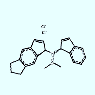 C[SiH](C)[Hf+2]([CH]1C=Cc2ccccc21)[CH]1C=Cc2cc3c(cc21)CCC3.[Cl-].[Cl-]